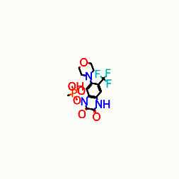 CP(=O)(O)On1c(=O)c(=O)[nH]c2cc(C(F)(F)F)c(N3CCOCC3)cc21